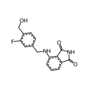 O=C1NC(=O)c2c(NCc3ccc(CO)c(F)c3)cccc21